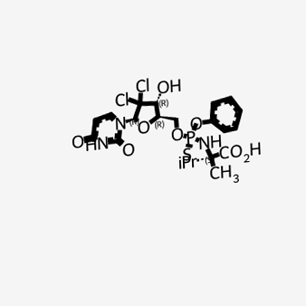 CC(C)[C@](C)(NP(=S)(OC[C@H]1O[C@@H](n2ccc(=O)[nH]c2=O)C(Cl)(Cl)[C@@H]1O)Oc1ccccc1)C(=O)O